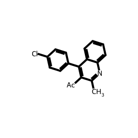 CC(=O)c1c(C)nc2ccccc2c1-c1ccc(Cl)cc1